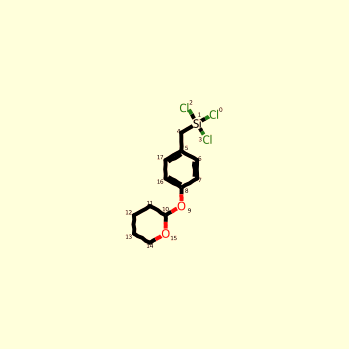 Cl[Si](Cl)(Cl)Cc1ccc(OC2CCCCO2)cc1